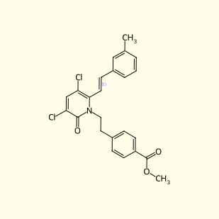 COC(=O)c1ccc(CCn2c(/C=C/c3cccc(C)c3)c(Cl)cc(Cl)c2=O)cc1